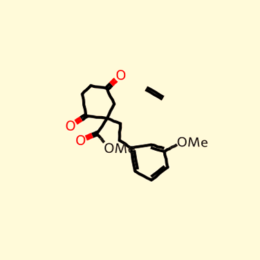 C=C.COC(=O)C1(CCc2cccc(OC)c2)CC(=O)CCC1=O